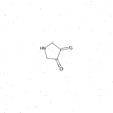 O=C1[C]NCC1=O